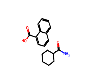 NC(=O)C1CCCCC1.O=C(O)c1cccc2ccccc12